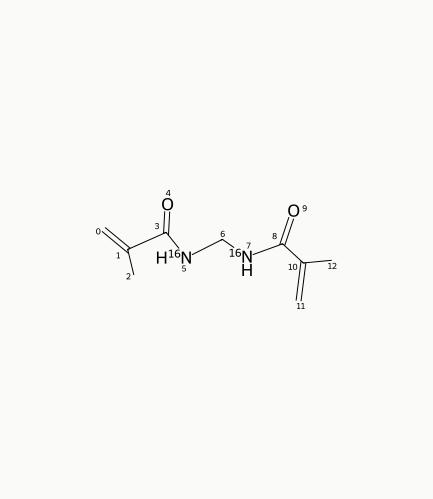 C=C(C)C(=O)[16NH]C[16NH]C(=O)C(=C)C